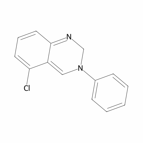 Clc1cccc2c1=CN(c1ccccc1)CN=2